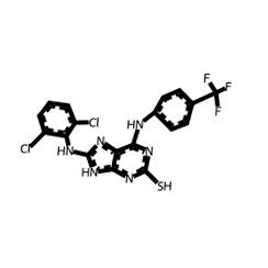 FC(F)(F)c1ccc(Nc2nc(S)nc3[nH]c(Nc4c(Cl)cccc4Cl)nc23)cc1